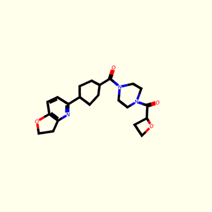 O=C(C1CCC(c2ccc3c(n2)CCO3)CC1)N1CCN(C(=O)C2CCO2)CC1